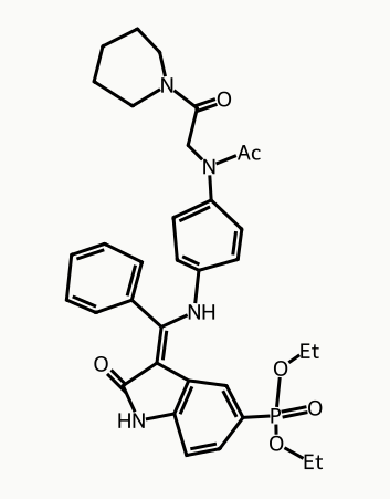 CCOP(=O)(OCC)c1ccc2c(c1)C(=C(Nc1ccc(N(CC(=O)N3CCCCC3)C(C)=O)cc1)c1ccccc1)C(=O)N2